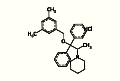 Cc1cc(C)cc(COC(c2ccccc2)(c2ccccc2)C(C)N2CCCCC2)c1.Cl